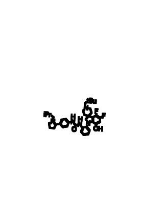 CC(C)CN1CCCC1c1ccc(NC(=O)Nc2ccccc2N2CC3(CCN(CC(C)(C)C)CC3)c3c(F)c(F)cc(O)c32)cc1